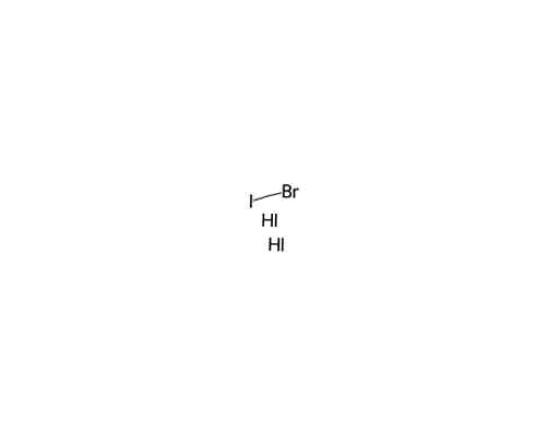 BrI.I.I